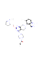 C=CC(=O)N1CCN(c2nc(OC[C@@H]3CCCN3C)nc3c2CCN(c2c(C(C)C)ccc4[nH]ncc24)C3)CC1